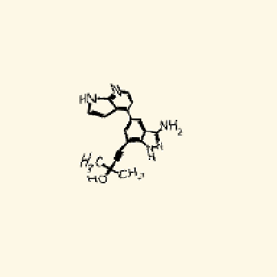 CC(C)(O)C#Cc1cc(-c2ccnc3[nH]ccc23)cc2c(N)n[nH]c12